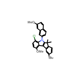 COc1ccc2ccc(-n3c4c(c5c(OC)ccc(Cl)c53)-c3cc(C(C)(C)C)ccc3C4(C)C)cc2c1